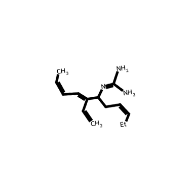 C=C/C(=C\C=C/C)C(C/C=C\CC)N=C(N)N